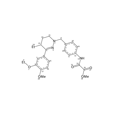 CCOc1cc(C2=NN(Cc3ccc(NC(=O)C(=O)OC)cc3)CCC2CC)ccc1OC